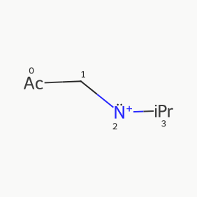 CC(=O)C[N+]C(C)C